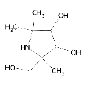 CC1(C)NC(C)(CO)C(O)C1O